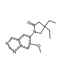 CCC1(CC)CC(=O)N(c2cc3cncnc3cc2OC)C1